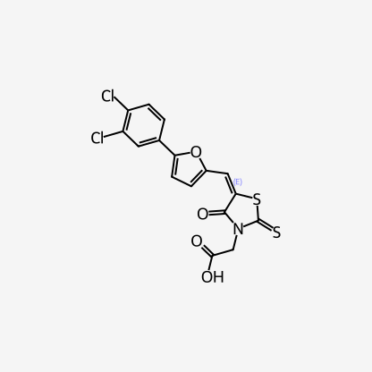 O=C(O)CN1C(=O)/C(=C\c2ccc(-c3ccc(Cl)c(Cl)c3)o2)SC1=S